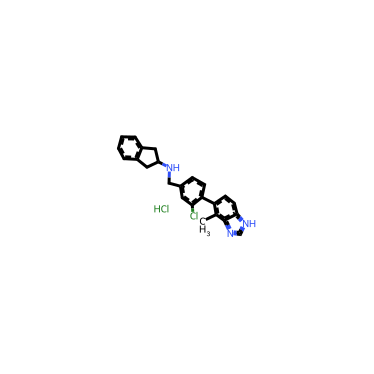 Cc1c(-c2ccc(CNC3Cc4ccccc4C3)cc2Cl)ccc2[nH]cnc12.Cl